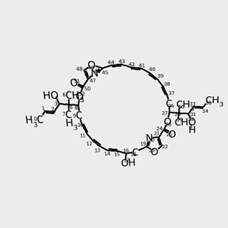 C/C=C/C(O)C(C)(C)C1C\C=C/C=C\C=C\C(O)Cc2nc(co2)C(=O)OC(C(C)(C)C(O)/C=C/C)C\C=C/C=C\C=C\C=C/c2nc(co2)C(=O)O1